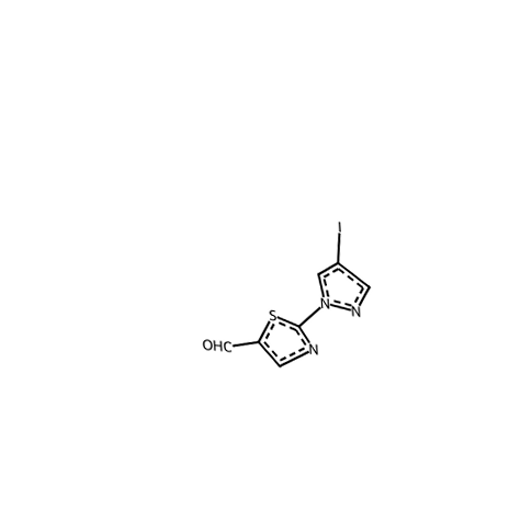 O=Cc1cnc(-n2cc(I)cn2)s1